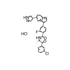 C[C@H](NC(=O)c1ccc(-c2cnc3ccc(-c4cn[nH]c4)cn23)cc1F)C(=O)c1cccc(Cl)c1.Cl